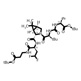 CC(C)[C@H](NC(=O)N[C@H](C(=O)N1C[C@H]2[C@@H]([C@H]1C(=O)N[C@@H](CC(F)F)C(=O)NCCC(=O)OC(C)(C)C)C2(C)C)C(C)(C)C)C(=O)OC(C)(C)C